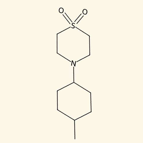 CC1CCC(N2CCS(=O)(=O)CC2)CC1